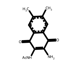 CC(=O)NC1=C(N)C(=O)c2cc(C)c(C)cc2C1=O